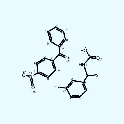 CC(NC(=O)O)c1cccc(F)c1.O=C(c1ccccc1)c1ccc([N+](=O)[O-])cc1